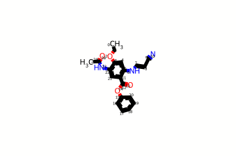 CCOc1cc(NC=CC#N)c(C(=O)Oc2ccccc2)cc1NC(C)=O